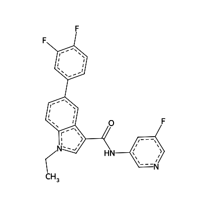 CCn1cc(C(=O)Nc2cncc(F)c2)c2cc(-c3ccc(F)c(F)c3)ccc21